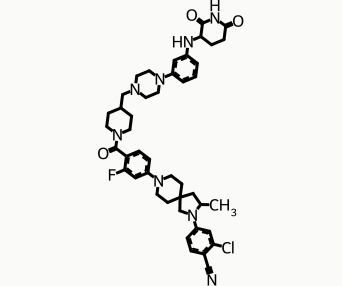 CC1CC2(CCN(c3ccc(C(=O)N4CCC(CN5CCN(c6cccc(NC7CCC(=O)NC7=O)c6)CC5)CC4)c(F)c3)CC2)CN1c1ccc(C#N)c(Cl)c1